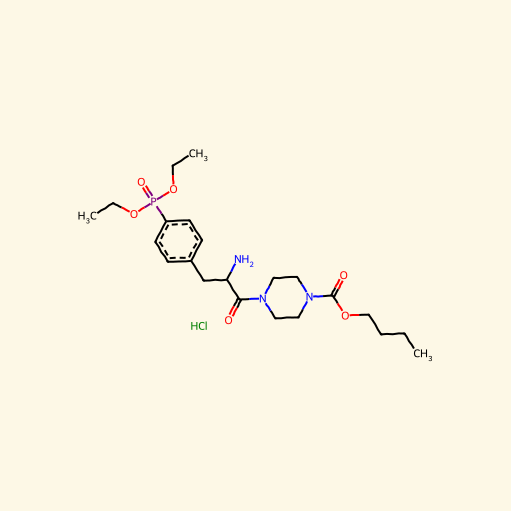 CCCCOC(=O)N1CCN(C(=O)C(N)Cc2ccc(P(=O)(OCC)OCC)cc2)CC1.Cl